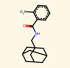 O=C(NCC12CC3CC(CC(C3)C1)C2)c1ccccc1[N+](=O)[O-]